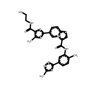 Cc1nc(-c2ccc(C)c(NC(=O)c3cnc4ccc(-c5nc(C)c(C(=O)NCCO)s5)cn34)c2)no1